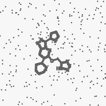 c1ccc(-c2cc3nnc(-c4cccs4)n3nc2OCc2ncn[nH]2)cc1